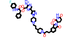 Nc1ncc(-c2cnn(C3CCN(CCCC4CCN(C(=O)CCc5ccc6c(c5)C(=O)N(C5CCC(=O)NC5=O)C6=O)CC4)CC3)c2)nc1C(=O)O[C@@H](C(=O)Nc1ccc(F)cc1)c1ccccc1